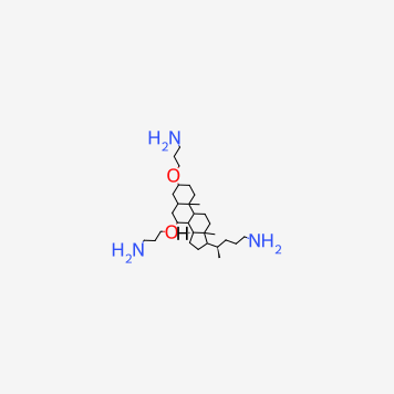 C[C@H](CCCN)C1CC[C@H]2C3C(CCC12C)C1(C)CC[C@@H](OCCCN)CC1C[C@H]3OCCCN